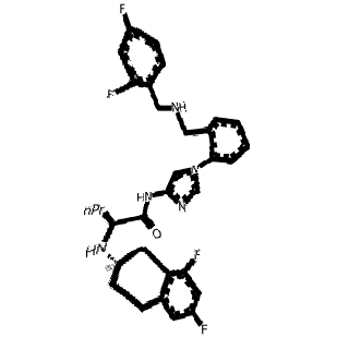 CCCC(N[C@H]1CCc2cc(F)cc(F)c2C1)C(=O)Nc1cn(-c2ccccc2CNCc2ccc(F)cc2F)cn1